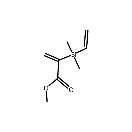 C=C[Si](C)(C)C(=C)C(=O)OC